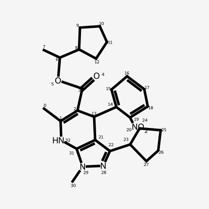 CC1=C(C(=O)OC(C)C2CCCC2)C(c2ccccc2[N+](=O)[O-])c2c(C3CCCC3)nn(C)c2N1